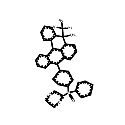 [2H]C([2H])([2H])C1(C)c2ccccc2-c2c3ccccc3c(-c3ccc(P(=O)(c4ccccc4)c4ccccc4)cc3)c3cccc1c23